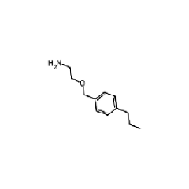 CCCc1ccc(COCCN)cc1